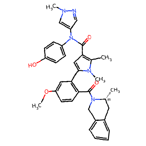 COc1ccc(C(=O)N2Cc3ccccc3C[C@H]2C)c(-c2cc(C(=O)N(c3ccc(O)cc3)c3cnn(C)c3)c(C)n2C)c1